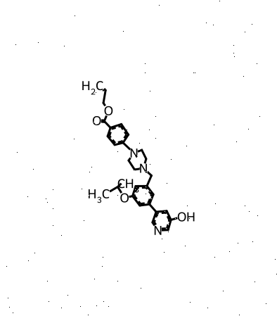 C=CCOC(=O)c1ccc(N2CCN(Cc3cc(OC(C)C)cc(-c4cncc(O)c4)c3)CC2)cc1